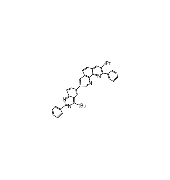 CC(C)c1cc2ccc3cc(-c4ccc5nc(-c6ccccc6)nc(C(C)(C)C)c5c4)cnc3c2nc1-c1ccccc1